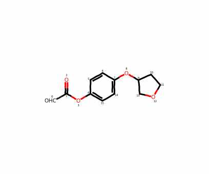 O=CC(=O)Oc1ccc(OC2CCOC2)cc1